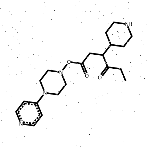 CCC(=O)C(CC(=O)ON1CCN(c2ccncc2)CC1)C1CCNCC1